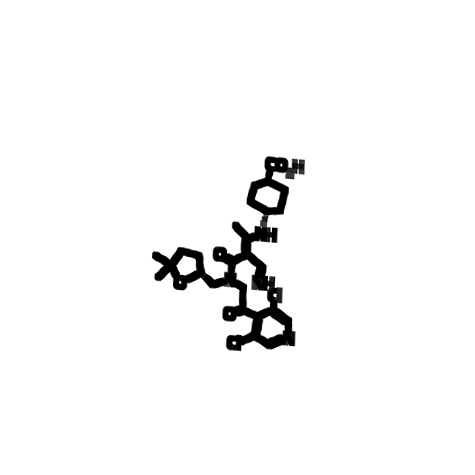 C/C(N[C@H]1CC[C@H](C(=O)O)CC1)=C(/C=N)C(=O)N(CC(=O)c1c(Cl)cncc1Cl)C[C@@H]1CCC(C)(C)O1